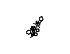 CCN(C(=O)n1nnn(-c2c(C)nn(Cc3ccccc3)c2C)c1=O)C1CCCCC1